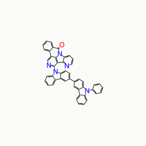 O=c1c2ccccc2c2cnc(-n3c4ccccc4c4cc(-c5ccc6c(c5)c5ccccc5n6-c5ccccc5)ccc43)c3c4ncccc4n1c23